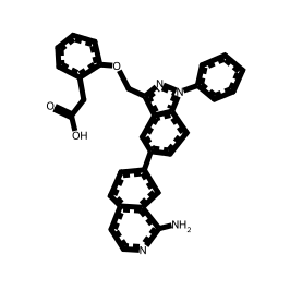 Nc1nccc2ccc(-c3ccc4c(c3)c(COc3ccccc3CC(=O)O)nn4-c3ccccc3)cc12